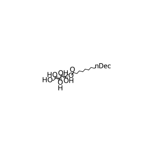 CCCCCCCCCCCCCCCCCC(=O)OC[C@@H](O)[C@@H](O)[C@H](O)[C@H](O)CO